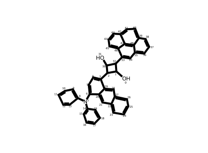 OC1C(c2ccc(N(c3ccccc3)c3ccccc3)c3cc4ccccc4cc23)C(O)C1c1cc2cccc3ccc4cccc1c4c32